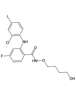 O=C(NOCCCCO)c1ccc(F)cc1Nc1ccc(I)cc1Cl